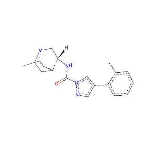 Cc1ccccc1-c1cnn(C(=O)N[C@H]2CN3CCC2CC3C)c1